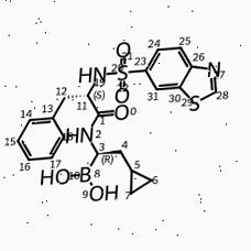 O=C(N[C@@H](CC1CC1)B(O)O)[C@H](Cc1ccccc1)NS(=O)(=O)c1ccc2ncsc2c1